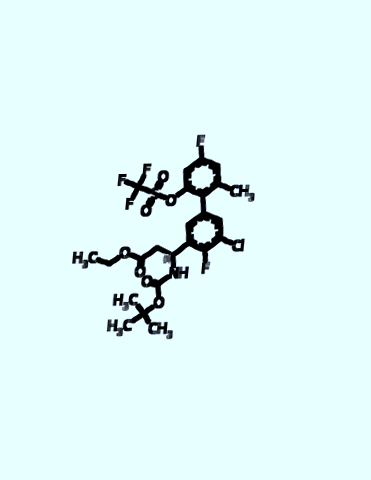 CCOC(=O)C[C@H](NC(=O)OC(C)(C)C)c1cc(-c2c(C)cc(F)cc2OS(=O)(=O)C(F)(F)F)cc(Cl)c1F